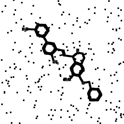 COc1cc2c(cc1OCc1ccccc1)CCNC2/C=C/c1cc(-c2ccnc(C)c2)ccc1C